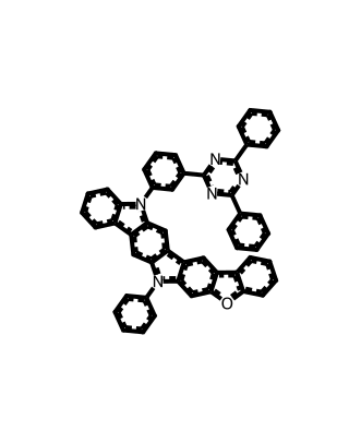 c1ccc(-c2nc(-c3ccccc3)nc(-c3cccc(-n4c5ccccc5c5cc6c(cc54)c4cc5c(cc4n6-c4ccccc4)oc4ccccc45)c3)n2)cc1